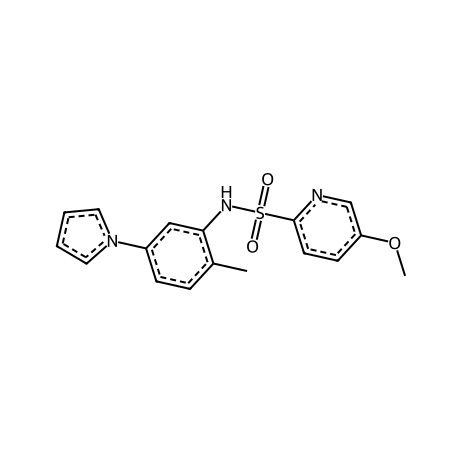 COc1ccc(S(=O)(=O)Nc2cc(-n3cccc3)ccc2C)nc1